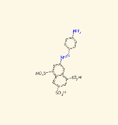 Nc1ccc(N=Nc2cc(S(=O)(=O)O)c3cc(S(=O)(=O)O)cc(S(=O)(=O)O)c3c2)cc1